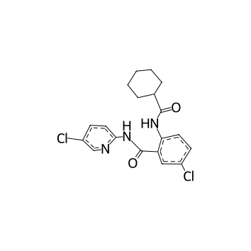 O=C(Nc1ccc(Cl)cn1)c1cc(Cl)ccc1NC(=O)C1CCCCC1